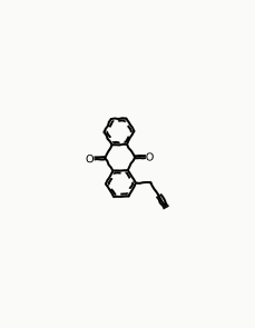 C#CCc1cccc2c1C(=O)c1ccccc1C2=O